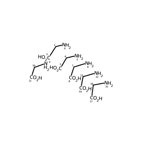 NCC(=O)O.NCC(=O)O.NCC(=O)O.NCC(=O)O.NCC(=O)O.NCC(=O)O